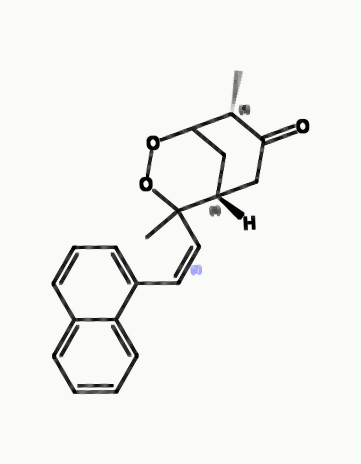 C[C@@H]1C(=O)C[C@H]2CC1OOC2(C)/C=C\c1cccc2ccccc12